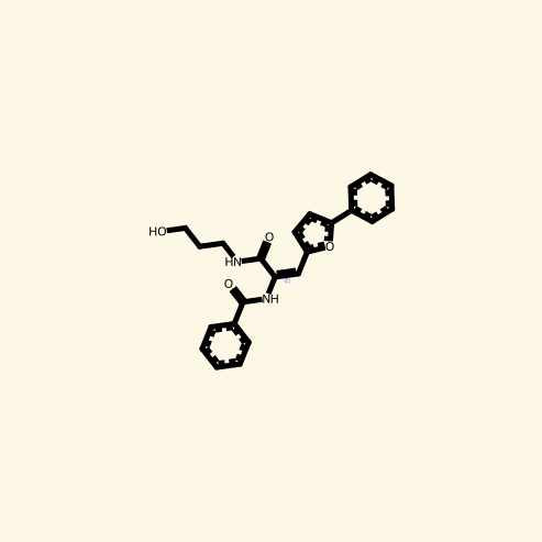 O=C(NCCCO)/C(=C\c1ccc(-c2ccccc2)o1)NC(=O)c1ccccc1